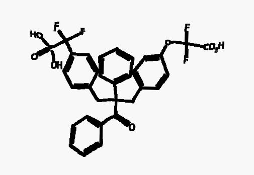 O=C(O)C(F)(F)Oc1ccc(CC(Cc2ccc(C(F)(F)P(=O)(O)O)cc2)(C(=O)c2ccccc2)c2ccccc2)cc1